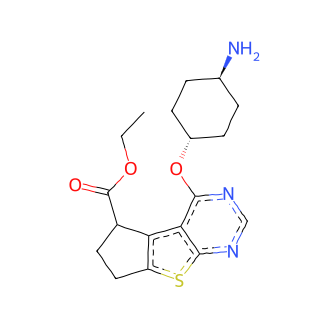 CCOC(=O)C1CCc2sc3ncnc(O[C@H]4CC[C@H](N)CC4)c3c21